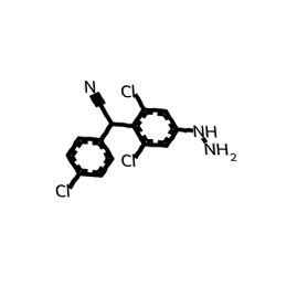 N#CC(c1ccc(Cl)cc1)c1c(Cl)cc(NN)cc1Cl